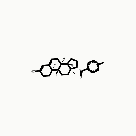 C[C@]12CC[C@H]3[C@@H](CC=C4C=C(C#N)CC[C@@]43C)[C@@H]1CC[C@@H]2C(=O)c1ccc(F)cc1